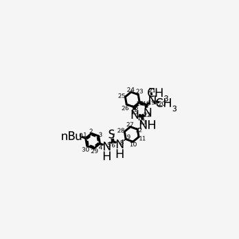 CCCCc1ccc(NC(=S)N[C@H]2CC[C@@H](Nc3nc4c(c(N(C)C)n3)CCCC4)CC2)cc1